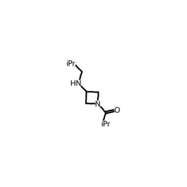 CC(C)CNC1CN(C(=O)C(C)C)C1